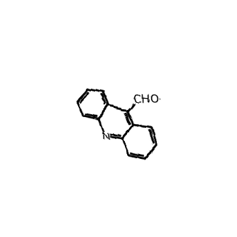 O=[C]c1c2ccccc2nc2ccccc12